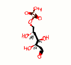 O=C[C@@H](O)[C@H](O)[C@H](O)COS(=O)(=O)O